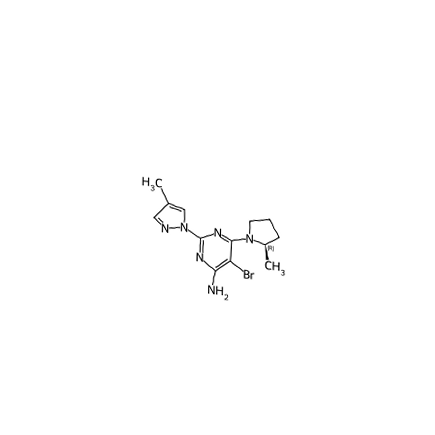 Cc1cnn(-c2nc(N)c(Br)c(N3CCC[C@H]3C)n2)c1